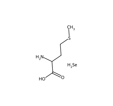 CSCCC(N)C(=O)O.[SeH2]